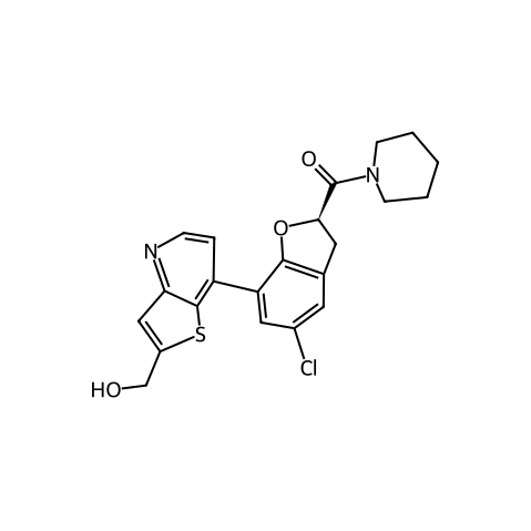 O=C([C@H]1Cc2cc(Cl)cc(-c3ccnc4cc(CO)sc34)c2O1)N1CCCCC1